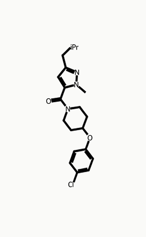 CC(C)Cc1cc(C(=O)N2CCC(Oc3ccc(Cl)cc3)CC2)n(C)n1